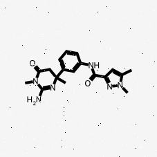 Cc1cc(C(=O)Nc2cccc(C3(C)CC(=O)N(C)C(N)=N3)c2)nn1C